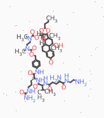 CCCC1O[C@@H]2CC3[C@@H]4CCC5=CC(=O)C=C[C@]5(C)C4[C@@H](O)C[C@]3(C)[C@]2(C(=O)COC(=O)N(C)CCN(C)C(=O)OCc2ccc(NC(=O)[C@H](CCCNC(N)=O)NC(=O)C(NC(=O)CC[C@@H](N)C(=O)NCCN)C(C)C)cc2)O1